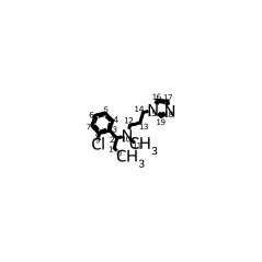 CCC(c1ccccc1Cl)N(C)CCCn1ccnc1